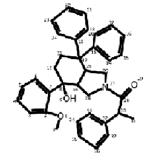 COc1ccccc1[C@]1(O)CCC(c2ccccc2)(c2ccccc2)C2CN(C(=O)C(C)c3ccccc3)CC21